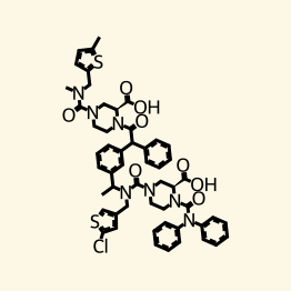 Cc1ccc(CN(C)C(=O)N2CCN(C(=O)C(c3ccccc3)c3cccc(C(C)N(Cc4csc(Cl)c4)C(=O)N4CCN(C(=O)N(c5ccccc5)c5ccccc5)[C@H](C(=O)O)C4)c3)[C@H](C(=O)O)C2)s1